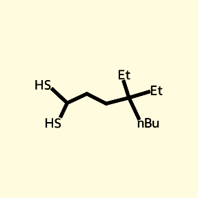 CCCCC(CC)(CC)CCC(S)S